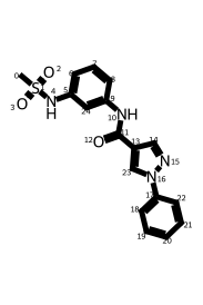 CS(=O)(=O)Nc1cccc(NC(=O)c2cnn(-c3ccccc3)c2)c1